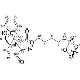 CCOP(=O)(OCC)OCCCCOC(=O)C1C(C(=O)O)[C@H]2C=CC(=O)[C@@H]1N2Cc1ccccc1